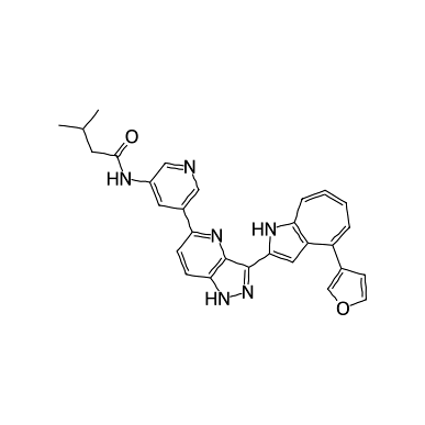 CC(C)CC(=O)Nc1cncc(-c2ccc3[nH]nc(-c4cc5c([nH]4)C=C=CC=C5c4ccoc4)c3n2)c1